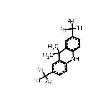 [2H]C([2H])([2H])c1ccc2c(c1)C(C)(C)c1cc(C([2H])([2H])[2H])ccc1N2